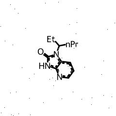 CCCC(CC)n1c(=O)[nH]c2ncccc21